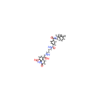 O=C(NCCCCNC[C@H](O)c1ccc(O)c2[nH]c(=O)ccc12)c1ccc(C(=O)N2CC(C(=O)O)(c3ccccc3)C2)cc1